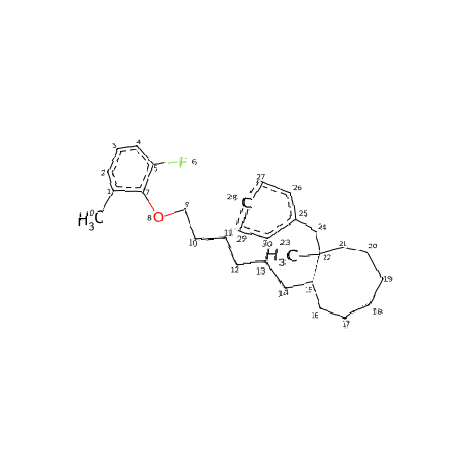 Cc1cccc(F)c1OCCCCCCC1CCCCCCC1(C)Cc1ccccc1